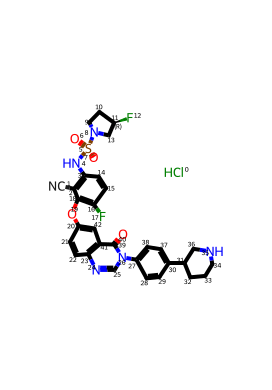 Cl.N#Cc1c(NS(=O)(=O)N2CC[C@@H](F)C2)ccc(F)c1Oc1ccc2ncn(-c3ccc(C4CCCNC4)cc3)c(=O)c2c1